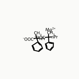 CCCC(C)(C(=O)[O-])c1ccccc1.CCCC(C)(C(=O)[O-])c1ccccc1.[Mg+2]